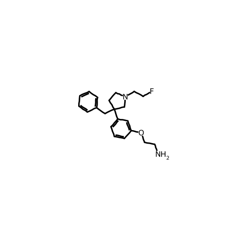 NCCOc1cccc(C2(Cc3ccccc3)CCN(CCF)C2)c1